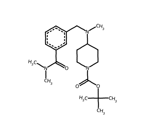 CN(C)C(=O)c1cccc(CN(C)C2CCN(C(=O)OC(C)(C)C)CC2)c1